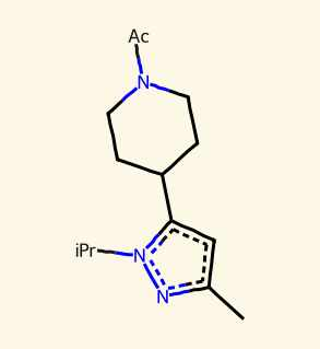 CC(=O)N1CCC(c2cc(C)nn2C(C)C)CC1